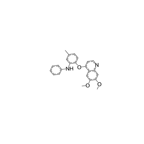 COc1cc2nccc(Oc3ccc(C)cc3Nc3ccccc3)c2cc1OC